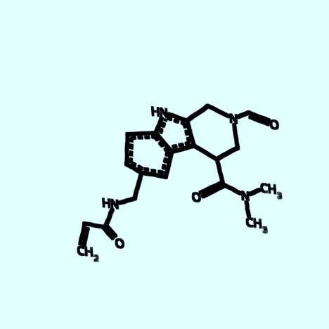 C=CC(=O)NCc1ccc2[nH]c3c(c2c1)C(C(=O)N(C)C)CN(C=O)C3